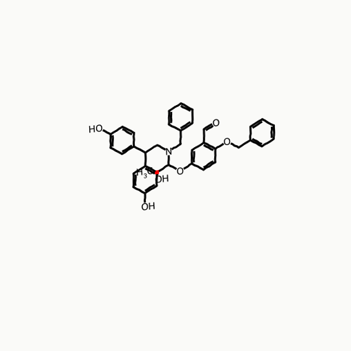 CC(O)C(Oc1ccc(OCc2ccccc2)c(C=O)c1)N(Cc1ccccc1)CC(c1ccc(O)cc1)c1ccc(O)cc1